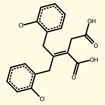 O=C(O)CC(C(=O)O)=C(Cc1ccccc1Cl)Cc1ccccc1Cl